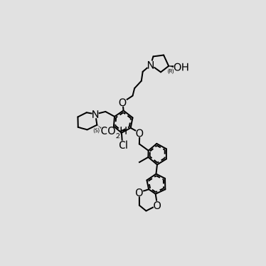 Cc1c(COc2cc(OCCCCN3CC[C@@H](O)C3)c(CN3CCCC[C@H]3C(=O)O)cc2Cl)cccc1-c1ccc2c(c1)OCCO2